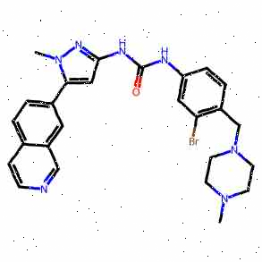 CN1CCN(Cc2ccc(NC(=O)Nc3cc(-c4ccc5ccncc5c4)n(C)n3)cc2Br)CC1